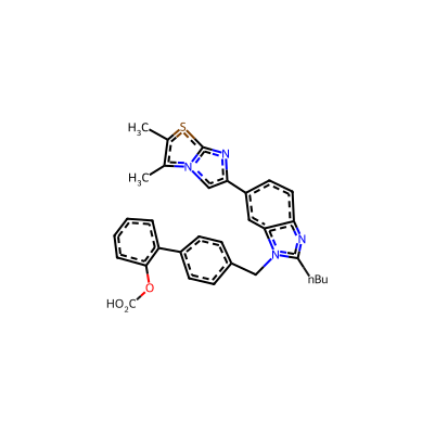 CCCCc1nc2ccc(-c3cn4c(C)c(C)sc4n3)cc2n1Cc1ccc(-c2ccccc2OC(=O)O)cc1